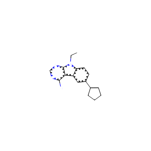 Nc1ncnc2c1c1cc(C3CCCC3)ccc1n2CC(=O)O